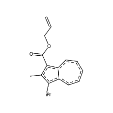 C=CCOC(=O)c1c2cccccc-2c(C(C)C)c1C